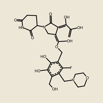 C=C(O)/C(O)=C1/C(=O)N(C2CCC(=O)NC2=O)C/C1=C(/O)OCc1c(O)c(O)c(CO)c(CN2CCOCC2)c1F